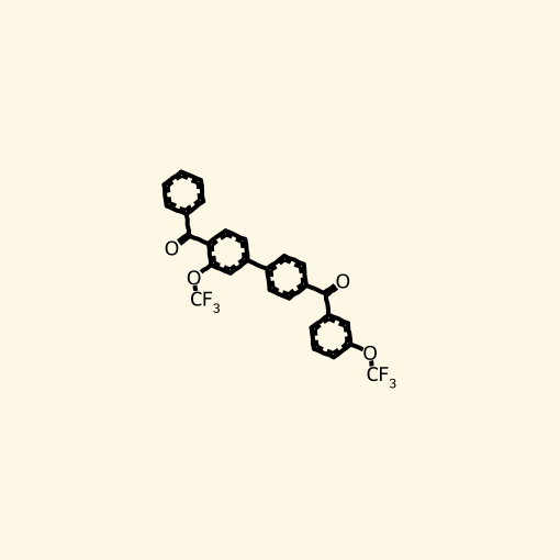 O=C(c1ccc(-c2ccc(C(=O)c3ccccc3)c(OC(F)(F)F)c2)cc1)c1cccc(OC(F)(F)F)c1